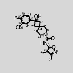 Cc1noc(NC(=O)N2CCC3(CC2)CC(O)(c2ccc(F)c(Cl)c2)C3)c1C